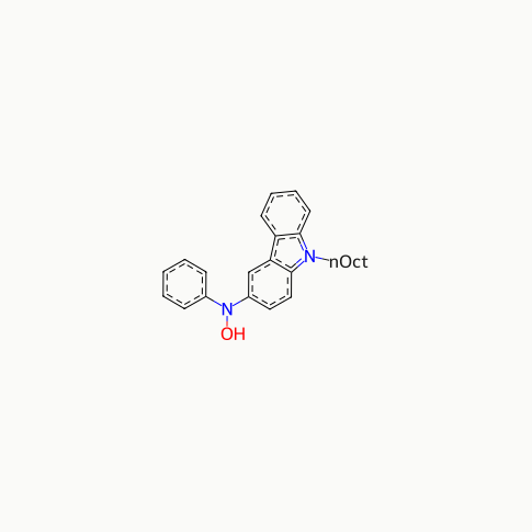 CCCCCCCCn1c2ccccc2c2cc(N(O)c3ccccc3)ccc21